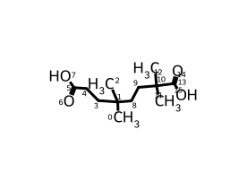 CC(C)(CCC(=O)O)CCC(C)(C)C(=O)O